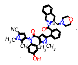 Cc1c(N(C(=O)c2cc(-c3ccccc3C(=O)N3Cc4ccccc4C[C@H]3CN3CCOCC3)n(C)c2C)c2ccc(O)cc2)cc(C#N)n1C